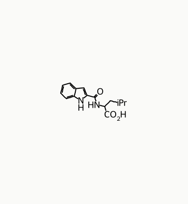 CC(C)CC(NC(=O)c1cc2ccccc2[nH]1)C(=O)O